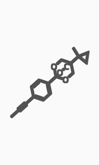 CC#Cc1ccc(C23OCC(C4(C)CC4)(CO2)CO3)cc1